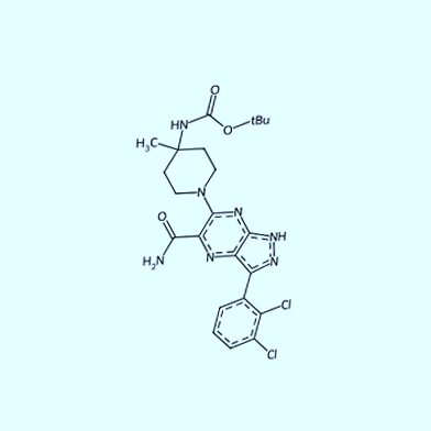 CC1(NC(=O)OC(C)(C)C)CCN(c2nc3[nH]nc(-c4cccc(Cl)c4Cl)c3nc2C(N)=O)CC1